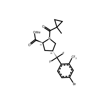 COC(=O)[C@@H]1C[C@@H](C(F)(F)c2ccc(Br)cc2C(F)(F)F)CN1C(=O)C1(C)CC1